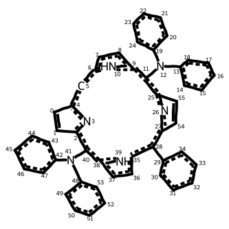 C1=Cc2nc1cc1ccc([nH]1)c(N(c1ccccc1)c1ccccc1)c1nc(c(-c3ccccc3)c3ccc([nH]3)c2N(c2ccccc2)c2ccccc2)C=C1